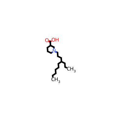 CCCCCCC(CCC)CCCN1CCCC(C(=O)O)C1